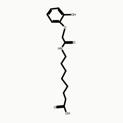 O=C(O)CCCCCCCNC(=O)COc1ccccc1O